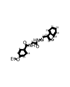 CCOc1ccc(C(=O)NCC(=O)N/N=C/c2csc3ccccc23)cc1